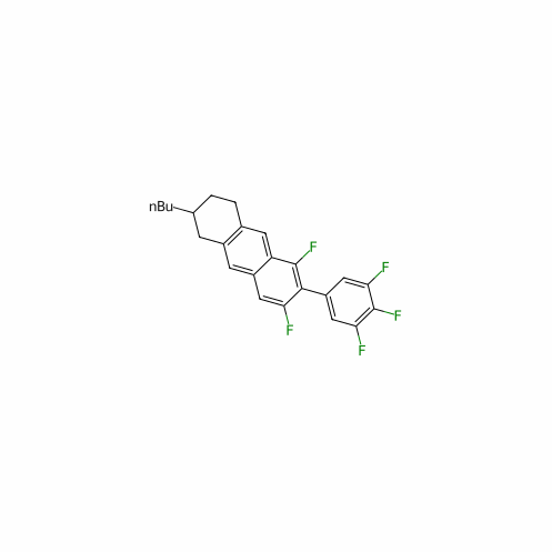 CCCCC1CCc2cc3c(F)c(-c4cc(F)c(F)c(F)c4)c(F)cc3cc2C1